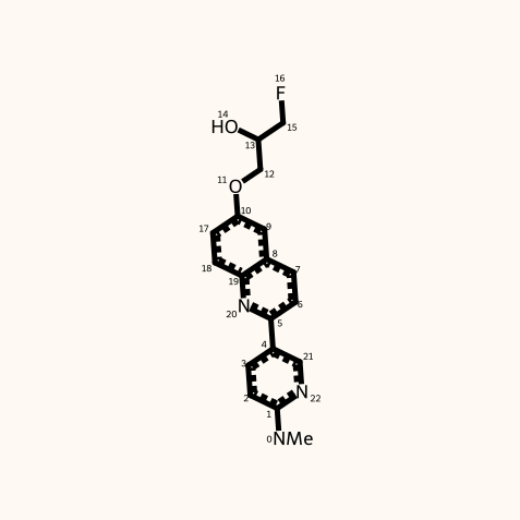 CNc1ccc(-c2ccc3cc(OCC(O)CF)ccc3n2)cn1